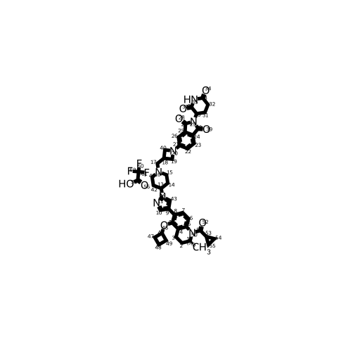 C[C@H]1CCc2c(ccc(-c3cnn(C4CCN(CC5CN(c6ccc7c(c6)C(=O)N(C6CCC(=O)NC6=O)C7=O)C5)CC4)c3)c2OC2CCC2)N1C(=O)C1CC1.O=C(O)C(F)(F)F